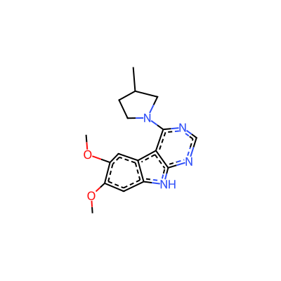 COc1cc2[nH]c3ncnc(N4CCC(C)C4)c3c2cc1OC